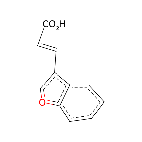 O=C(O)/C=C/c1coc2ccccc12